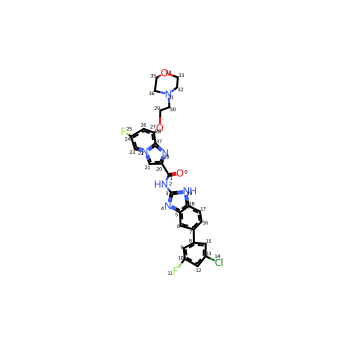 O=C(Nc1nc2cc(-c3cc(F)cc(Cl)c3)ccc2[nH]1)c1cn2cc(F)cc(OCCN3CCOCC3)c2n1